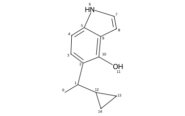 CC(c1ccc2[nH]ccc2c1O)C1CC1